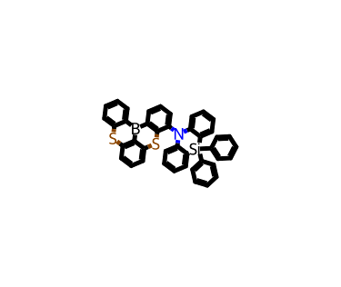 c1ccc([Si]2(c3ccccc3)c3ccccc3N(c3cccc4c3Sc3cccc5c3B4c3ccccc3S5)c3ccccc32)cc1